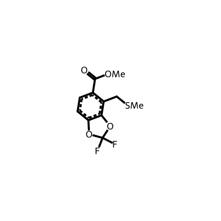 COC(=O)c1ccc2c(c1CSC)OC(F)(F)O2